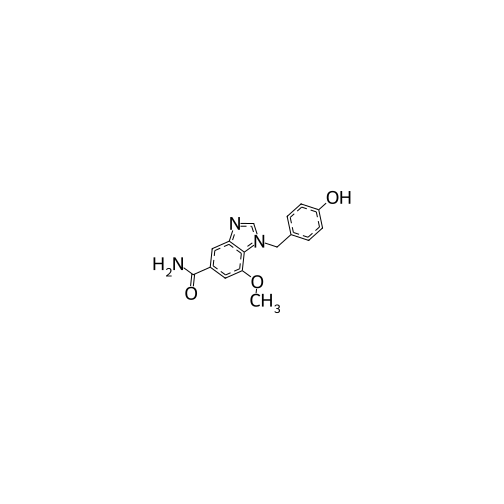 COc1cc(C(N)=O)cc2ncn(Cc3ccc(O)cc3)c12